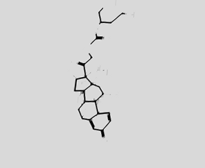 CCC(CCO)OC(=O)OCC(=O)[C@@]1(O)[C@H](C)C[C@H]2[C@@H]3CCC4=CC(=O)C=C[C@]4(C)[C@@]3(F)[C@@H](O)C[C@@]21C